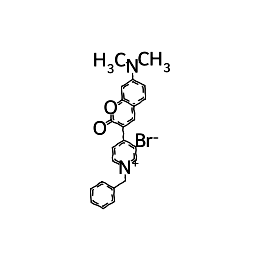 CN(C)c1ccc2cc(-c3cc[n+](Cc4ccccc4)cc3)c(=O)oc2c1.[Br-]